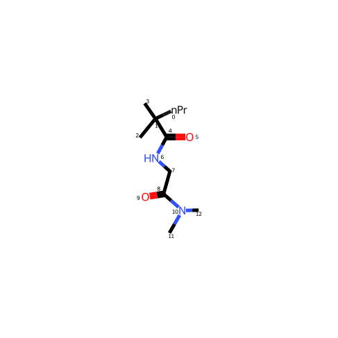 CCCC(C)(C)C(=O)NCC(=O)N(C)C